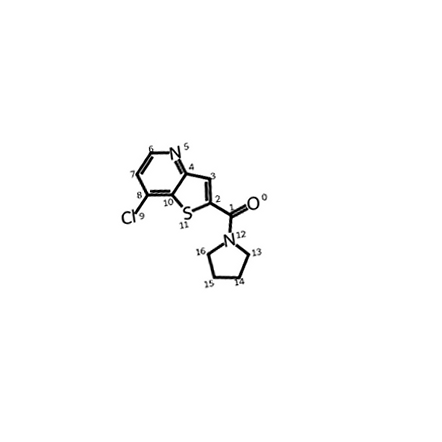 O=C(c1cc2nccc(Cl)c2s1)N1CCCC1